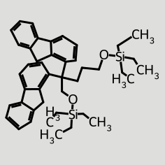 CC[Si](CC)(CC)OCCCC(CO[Si](CC)(CC)CC)(c1cccc2c1Cc1ccccc1-2)c1cccc2c1Cc1ccccc1-2